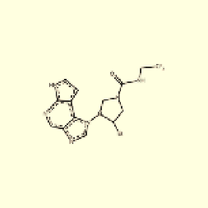 CCC1CN(C(=O)NCC(F)(F)F)CN1n1cnc2cnc3[nH]ccc3c21